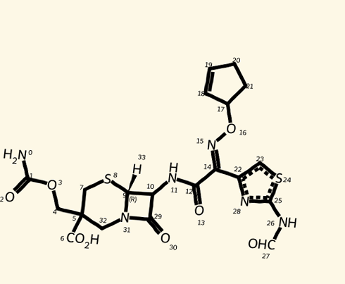 NC(=O)OCC1(C(=O)O)CS[C@@H]2C(NC(=O)C(=NOC3C=CCC3)c3csc(NC=O)n3)C(=O)N2C1